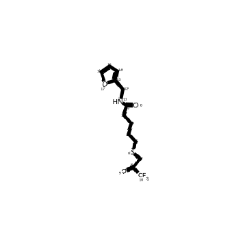 O=C([CH]CCCSCC(=O)C(F)(F)F)NCc1ccco1